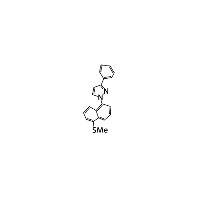 CSc1cccc2c(-n3ccc(-c4ccccc4)n3)cccc12